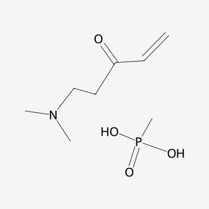 C=CC(=O)CCN(C)C.CP(=O)(O)O